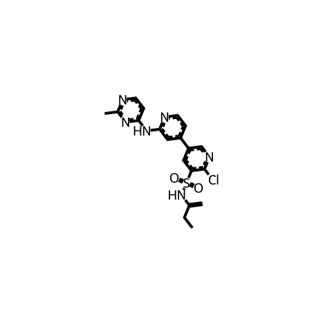 C=C(CC)NS(=O)(=O)c1cc(-c2ccnc(Nc3ccnc(C)n3)c2)cnc1Cl